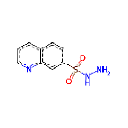 NNS(=O)(=O)c1ccc2cccnc2c1